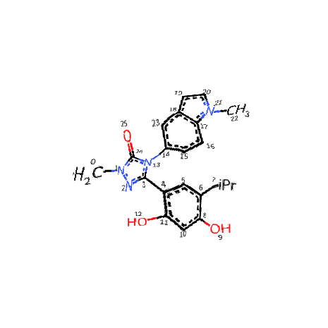 [CH2]n1nc(-c2cc(C(C)C)c(O)cc2O)n(-c2ccc3c(ccn3C)c2)c1=O